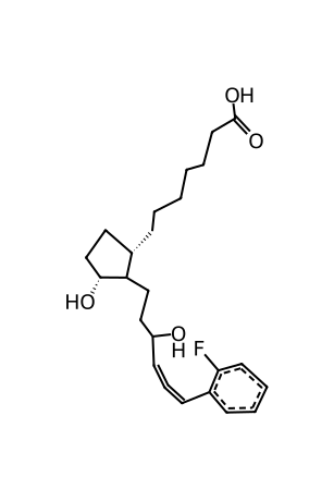 O=C(O)CCCCCC[C@H]1CC[C@@H](O)C1CCC(O)C=C=Cc1ccccc1F